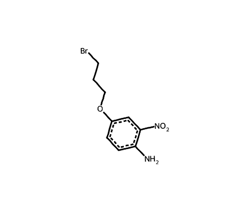 Nc1ccc(OCCCBr)cc1[N+](=O)[O-]